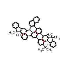 CC(C)(C)c1ccc(-c2ccc(N(c3ccc4c(c3)-c3ccccc3C4(C)C)c3ccc4ccccc4c3-c3ccc(-c4ccc5c(c4)C(C)(C)c4ccccc4-5)cc3)c(-c3ccccc3)c2)cc1